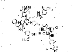 COc1cc(CC(=O)N[C@@H](Cc2ccccc2)C(=O)N[C@@H](Cc2ccc(C(F)(F)P(=O)(O)O)cc2)C(=O)N[C@@H](CCCCNC(=O)c2ccc(C)c(Br)c2)C(=O)N2CCN(CCC(=O)N[C@H](C(=O)N3C[C@H](O)C[C@H]3C(=O)NCc3ccc(-c4scnc4C)cc3)C(C)(C)C)CC2)ccc1O